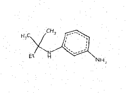 CCC(C)(C)Nc1cccc(N)c1